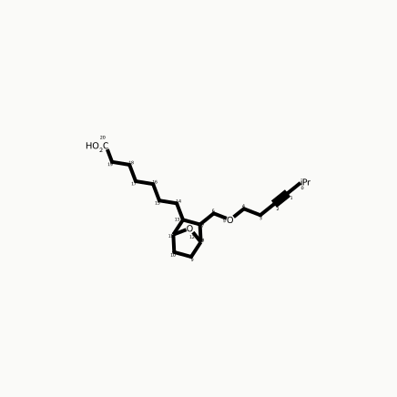 CC(C)C#CCCOCC1C2CCC(O2)C1CCCCCCC(=O)O